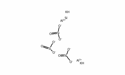 O=[Si]([O-])[O-].O=[Si]([O-])[O-].O=[Si]([O-])[O-].[Al+3].[Al+3].[KH].[KH].[Si]